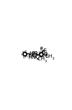 CC[C@@H](NC(=O)OCc1ccccc1)C(O)c1ccc(OC)c(C(F)F)c1